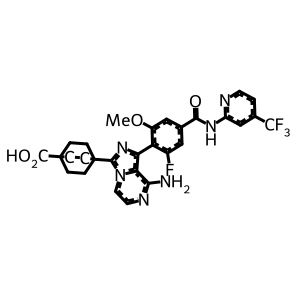 COc1cc(C(=O)Nc2cc(C(F)(F)F)ccn2)cc(F)c1-c1nc(C23CCC(C(=O)O)(CC2)CC3)n2ccnc(N)c12